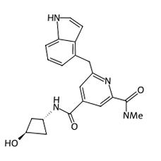 CNC(=O)c1cc(C(=O)N[C@H]2C[C@H](O)C2)cc(Cc2cccc3[nH]ccc23)n1